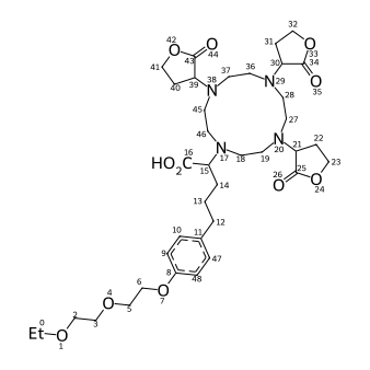 CCOCCOCCOc1ccc(CCCC(C(=O)O)N2CCN(C3CCOC3=O)CCN(C3CCOC3=O)CCN(C3CCOC3=O)CC2)cc1